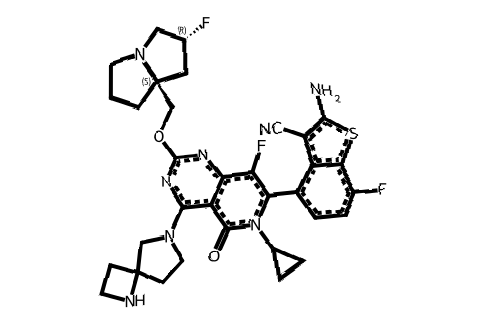 N#Cc1c(N)sc2c(F)ccc(-c3c(F)c4nc(OC[C@@]56CCCN5C[C@H](F)C6)nc(N5CCC6(CCN6)C5)c4c(=O)n3C3CC3)c12